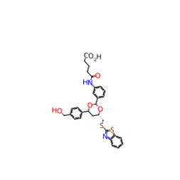 O=C(O)CCCC(=O)Nc1cccc(C2OC(c3ccc(CO)cc3)C[C@@H](CSc3nc4ccccc4s3)O2)c1